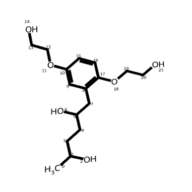 CC(O)CCC(O)Cc1cc(OCCO)ccc1OCCO